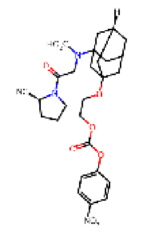 N#C[C@@H]1CCCN1C(=O)CN(C(=O)O)C12CC3C[C@H](CC(OCCOC(=O)Oc4ccc([N+](=O)[O-])cc4)(C3)C1)C2